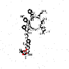 COON([C@H](Cc1ccc(NCC(=O)NC(Cc2ccccc2)C(=O)NC2CSSCC(C(=O)N[C@H](C(=O)O)[C@@H](C)O)NC(=O)[C@H]([C@@H](C)O)NC(=O)[C@H](CCCCN)NC(=O)[C@H](Cc3c[nH]c4ccccc34)NC(=O)[C@H](Cc3ccc(O)cc3)NC2=O)cc1)CN(CC(=O)O)CC(=O)O)[C@@H](C)CN(CC(=O)O)CC(=O)O